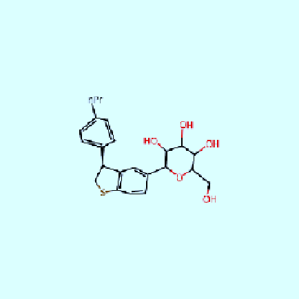 CCCc1ccc([C@@H]2CSc3ccc(C4OC(CO)C(O)C(O)C4O)cc32)cc1